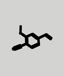 C=[C]c1ccc(C#N)c(OC)c1